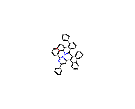 c1ccc(-c2cc(-c3c(-c4nc5ccccc5c5c(-c6ccccc6)cccc45)c4ccccc4c4ccccc34)nc(-c3ccccc3)n2)cc1